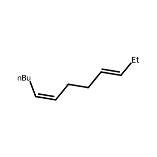 CC/C=C/C[CH]/C=C\CCCC